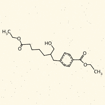 CCOC(=O)CCCCC(CO)Cc1ccc(C(=O)OCC)cc1